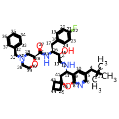 CC(C)(C)Cc1cnc2c(c1)[C@@H](NC[C@@H](O)[C@H](Cc1ccc(F)cc1)NC(=O)[C@@H]1CN(Cc3ccccc3)CCO1)CC1(CCC1)O2